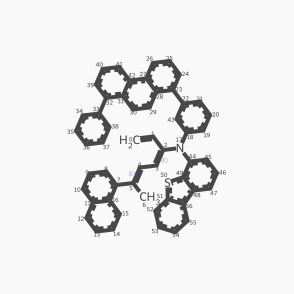 C=C/C(=C\C=C(/C)c1cccc2ccccc12)N(c1cccc(-c2cccc3c2ccc2c(-c4ccccc4)cccc23)c1)c1cccc2c1sc1ccccc12